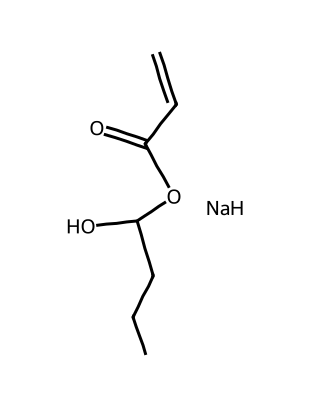 C=CC(=O)OC(O)CCC.[NaH]